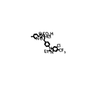 CCc1nc2cc(C(F)(F)F)c(Cl)cc2n1-c1ccc(CCN(C(=O)O)S(=O)(=O)c2ccc(C)cn2)cc1.Cl